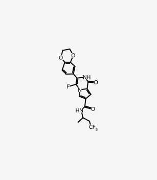 CC(CC(F)(F)F)NC(=O)c1cc2c(=O)[nH]c(-c3ccc4c(c3)OCCO4)c(F)n2c1